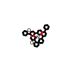 c1ccc(-c2ccc(-c3ccccc3N(c3ccccc3-c3ccc4c(c3)oc3ccccc34)c3cccc4oc5ccccc5c34)cc2)cc1